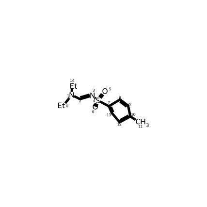 CCN(C=NS(=O)(=O)c1ccc(C)cc1)CC